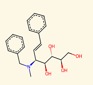 CN(Cc1ccccc1)[C@@H](/C=C/c1ccccc1)[C@H](O)[C@H](O)[C@H](O)CO